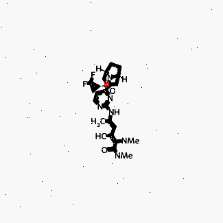 CNC(=O)/C(NC)=C(O)/C=C(\C)Nc1nccc(N2C[C@H]3CC[C@@H](C2)N3C(=O)[C@@H]2CC2(F)F)n1